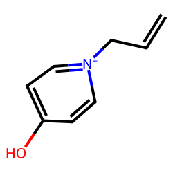 C=CC[n+]1ccc(O)cc1